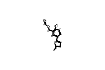 Cc1ccc(-c2ccc(Cl)c(COC=O)c2)s1